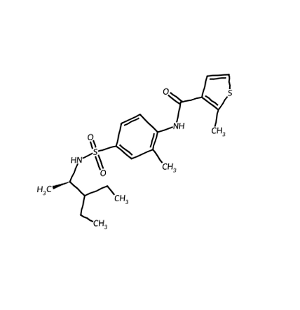 CCC(CC)[C@@H](C)NS(=O)(=O)c1ccc(NC(=O)c2ccsc2C)c(C)c1